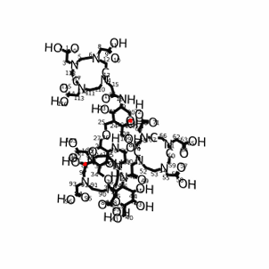 O=C(O)CN1CCN(CC(=O)O)CCN(CC(=O)NC(CO)C(O)C(COCC2OC(CO)C(COCC3OC(CO)C(O)C(O)C3NC(=O)CN3CCN(CC(=O)O)CCN(CC(=O)O)CCN(CC(=O)O)CC3)C(O)C2NC(=O)CN2CCN(CC(=O)O)CCN(CC(=O)O)CCN(CC(=O)O)CC2)C(O)CO)CCN(CC(=O)O)CC1